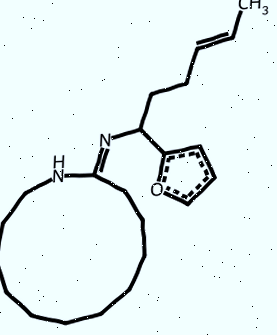 CC=CCCC(N=C1CCCCCCCCCCCN1)c1ccco1